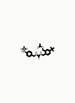 CC(=O)OCc1cc(C(C)(C)C)ccc1CNC(=S)NCc1ccc(NS(C)(=O)=O)cc1